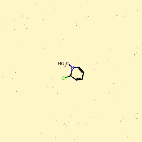 O=C(O)N1C=CC=CC1Cl